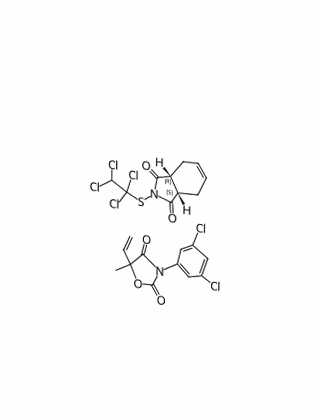 C=CC1(C)OC(=O)N(c2cc(Cl)cc(Cl)c2)C1=O.O=C1[C@H]2CC=CC[C@H]2C(=O)N1SC(Cl)(Cl)C(Cl)Cl